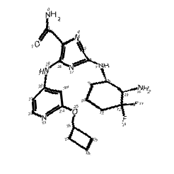 NC(=O)c1ncc(N[C@@H]2CCCC(F)(F)[C@@H]2N)nc1Nc1ccnc(OC2CCC2)c1